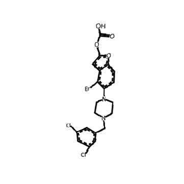 O=C(O)Oc1cc2c(Br)c(N3CCN(Cc4cc(Cl)cc(Cl)c4)CC3)ccc2o1